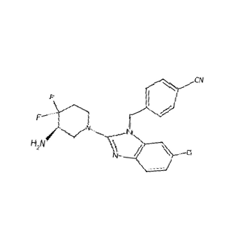 N#Cc1ccc(Cn2c(N3CCC(F)(F)[C@H](N)C3)nc3ccc(Cl)cc32)cc1